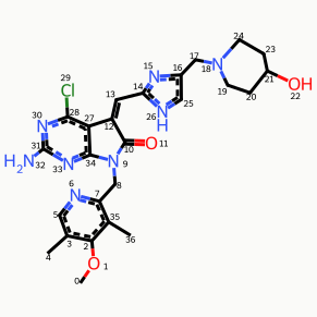 COc1c(C)cnc(CN2C(=O)/C(=C\c3nc(CN4CCC(O)CC4)c[nH]3)c3c(Cl)nc(N)nc32)c1C